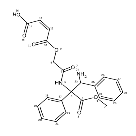 COC(=O)C(NC(=O)COC(=O)/C=C\C(=O)O)(c1ccccc1)C(N)c1ccccc1